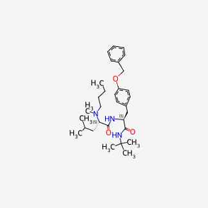 CCCCN(C)[C@@H](CC(C)C)C(=O)N[C@@H](Cc1ccc(OCc2ccccc2)cc1)C(=O)NC(C)(C)C